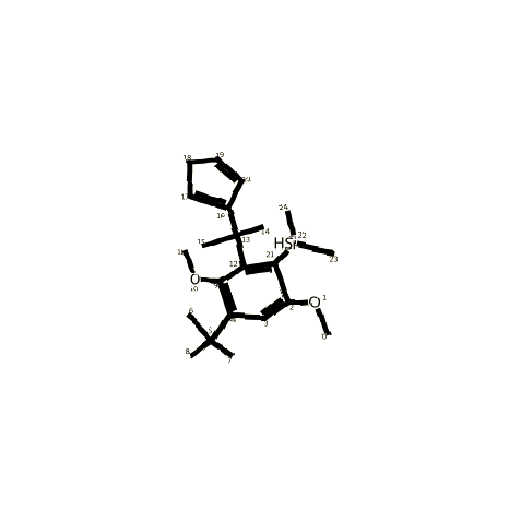 COc1cc(C(C)(C)C)c(OC)c(C(C)(C)C2=CCC=C2)c1[SiH](C)C